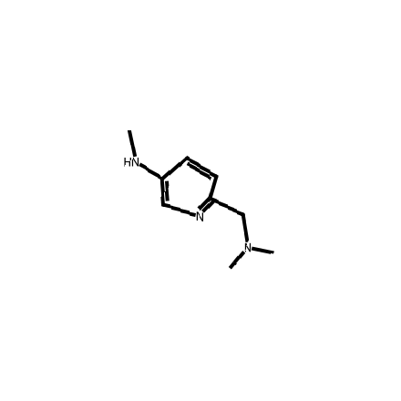 CNc1ccc(CN(C)C)nc1